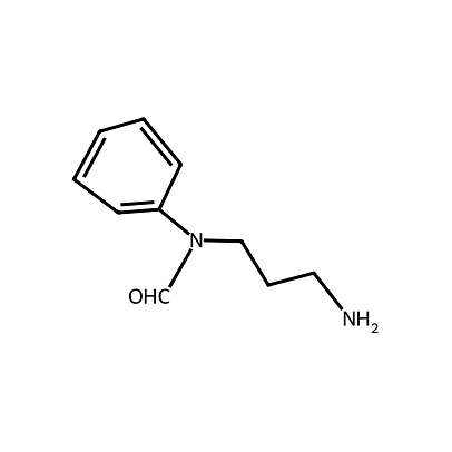 NCCCN(C=O)c1ccccc1